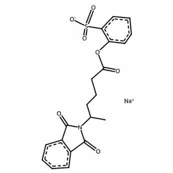 CC(CCCC(=O)Oc1ccccc1S(=O)(=O)[O-])N1C(=O)c2ccccc2C1=O.[Na+]